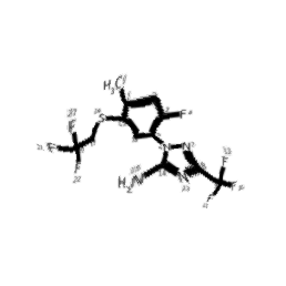 Cc1cc(F)c(-n2nc(C(F)(F)F)nc2N)cc1SCC(F)(F)F